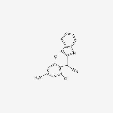 N#CC(c1nc2ccccc2s1)c1c(Cl)cc(N)cc1Cl